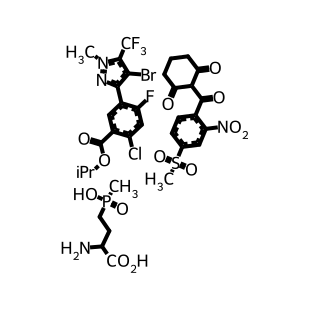 CC(C)OC(=O)c1cc(-c2nn(C)c(C(F)(F)F)c2Br)c(F)cc1Cl.CP(=O)(O)CCC(N)C(=O)O.CS(=O)(=O)c1ccc(C(=O)C2C(=O)CCCC2=O)c([N+](=O)[O-])c1